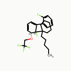 CCCCCC1([C@@]2(F)C(c3ccccc3F)=CC=C[C@H]2OCC(F)(F)F)CCCCC1